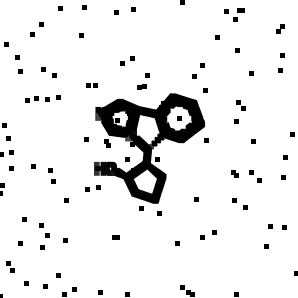 O[C@@H]1CCC[C@@H]1[C@H]1c2ccccc2-c2cncn21